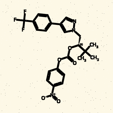 CC(C)(C)[C@@H](Cn1cc(-c2ccc(C(F)(F)F)cc2)cn1)OC(=O)Oc1ccc([N+](=O)[O-])cc1